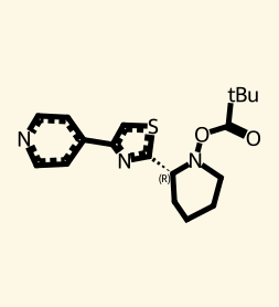 CC(C)(C)C(=O)ON1CCCC[C@@H]1c1nc(-c2ccncc2)cs1